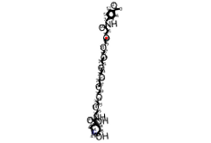 CC(=O)c1ccc(CNC(=O)CCOCCOCCOCCOCCOCCOCCOCCOCCNC(=O)[C@]2(O)CC/C=C/[C@H](O)CC2)cc1